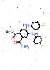 COC(=O)c1cc(Nc2ccc(F)cc2)c(Nc2ccc(F)cc2)cc1C(N)=O